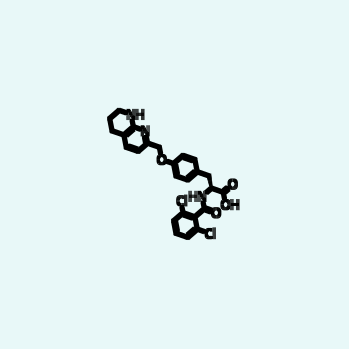 O=C(N[C@@H](Cc1ccc(OCc2ccc3c(n2)NCCC3)cc1)C(=O)O)c1c(Cl)cccc1Cl